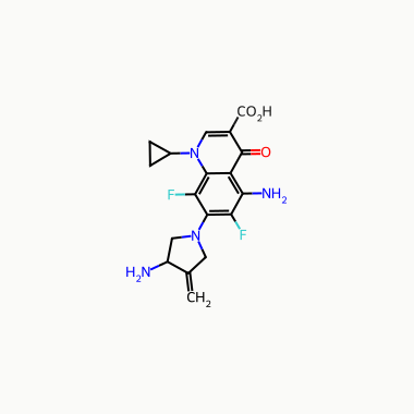 C=C1CN(c2c(F)c(N)c3c(=O)c(C(=O)O)cn(C4CC4)c3c2F)CC1N